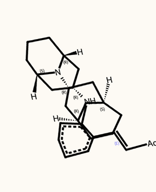 CC(=O)/C=C/c1ccccc1N[C@H]1C[C@H]2CCC[C@@H](C1)N2[C@H]1C[C@@H]2CCC[C@@H](C2)C1